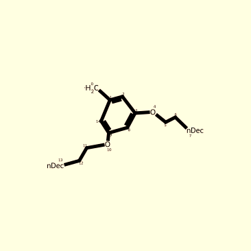 [CH2]c1cc(OCCCCCCCCCCCC)cc(OCCCCCCCCCCCC)c1